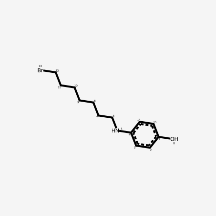 Oc1ccc(NCCCCCCCBr)cc1